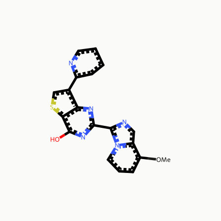 COc1cccn2c(-c3nc(O)c4scc(-c5ccccn5)c4n3)ncc12